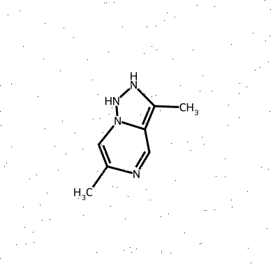 CC1=CN2NNC(C)=C2C=N1